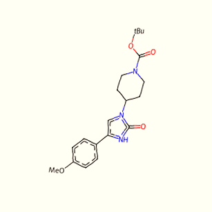 COc1ccc(-c2cn(C3CCN(C(=O)OC(C)(C)C)CC3)c(=O)[nH]2)cc1